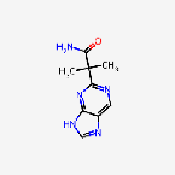 CC(C)(C(N)=O)c1ncc2nc[nH]c2n1